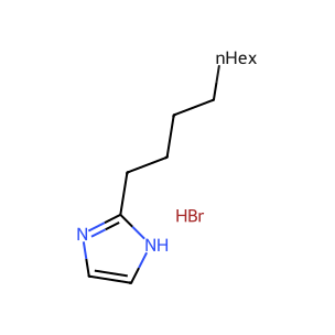 Br.CCCCCCCCCCc1ncc[nH]1